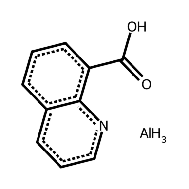 O=C(O)c1cccc2cccnc12.[AlH3]